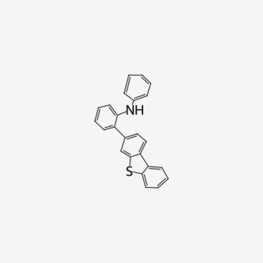 c1ccc(Nc2ccccc2-c2ccc3c(c2)sc2ccccc23)cc1